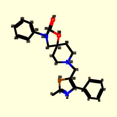 Cc1nc(-c2ccccc2)c(CN2CCC3(CC2)CN(c2ccccc2)C(=O)O3)s1